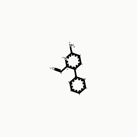 Nc1ccc(-c2ccccc2)c(C=O)n1